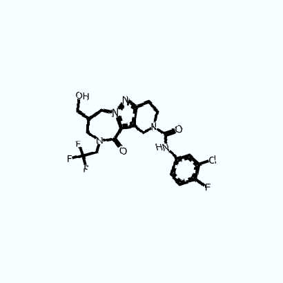 O=C(Nc1ccc(F)c(Cl)c1)N1CCc2nn3c(c2C1)C(=O)N(CC(F)(F)F)CC(CO)C3